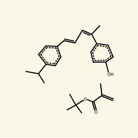 C=C(C)C(=O)OC(C)(C)C.CC(=CC=Cc1ccc(C(C)C)cc1)c1ccc(O)cc1